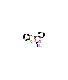 NC(=O)OC(Oc1ccccc1Cl)c1ccccc1